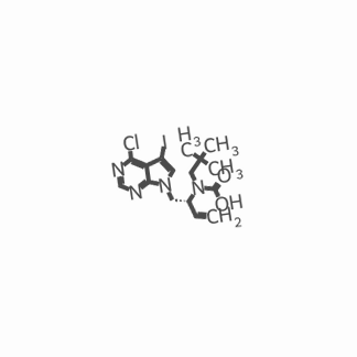 C=C[C@H](Cn1cc(I)c2c(Cl)ncnc21)N(CC(C)(C)C)C(=O)O